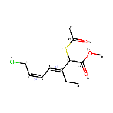 CC/C(=C\C=C/CCl)C(SC(C)=O)C(=O)OC